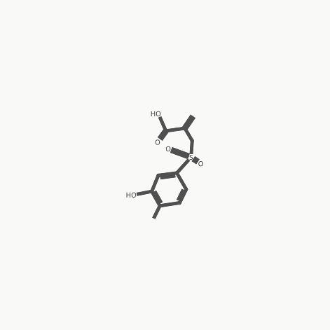 C=C(CS(=O)(=O)c1ccc(C)c(O)c1)C(=O)O